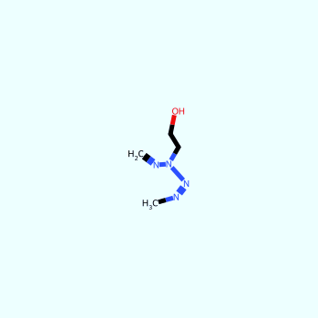 C=NN(CCO)/N=N\C